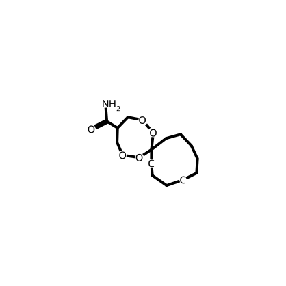 NC(=O)C1COOC2(CCCCCCCCC2)OOC1